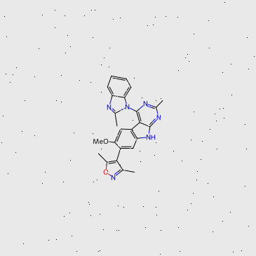 COc1cc2c(cc1-c1c(C)noc1C)[nH]c1nc(C)nc(-n3c(C)nc4ccccc43)c12